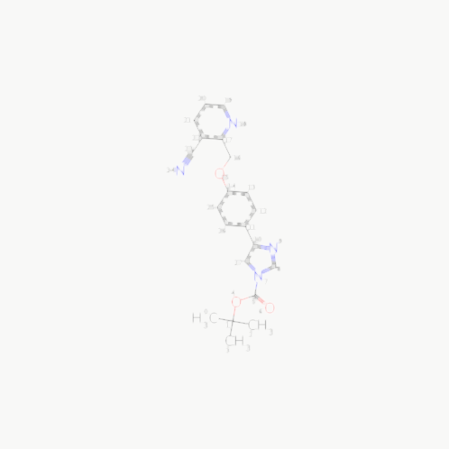 CC(C)(C)OC(=O)n1cnc(-c2ccc(OCc3ncccc3C#N)cc2)c1